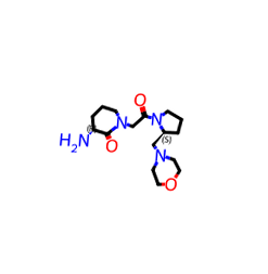 N[C@@H]1CCCN(CC(=O)N2CCC[C@H]2CN2CCOCC2)C1=O